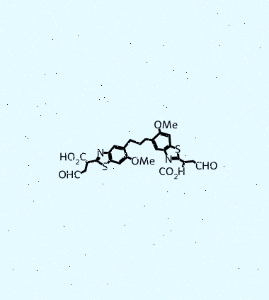 COc1cc2sc(C(CC=O)C(=O)O)nc2cc1CCCc1cc2nc(C(CC=O)C(=O)O)sc2cc1OC